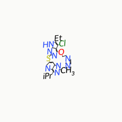 CCc1[nH]c2nc(Sc3cnc4c(C(C)C)nc(C)nc4c3)nc(OCCn3ccnc3)c2c1Cl